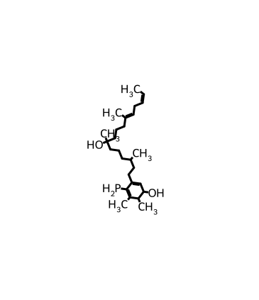 C/C=C\C/C=C(\C)CCCC(C)(O)CCCC(C)CCC1=CC(O)C(C)C(C)=C1P